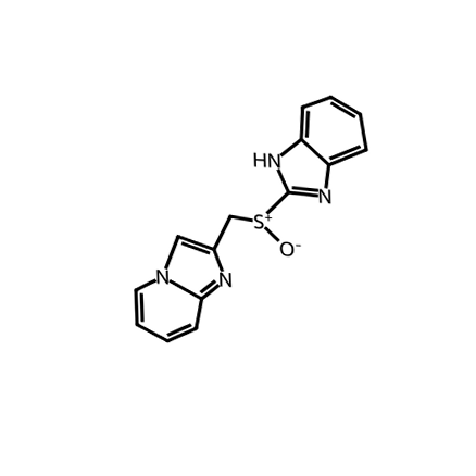 [O-][S+](Cc1cn2ccccc2n1)c1nc2ccccc2[nH]1